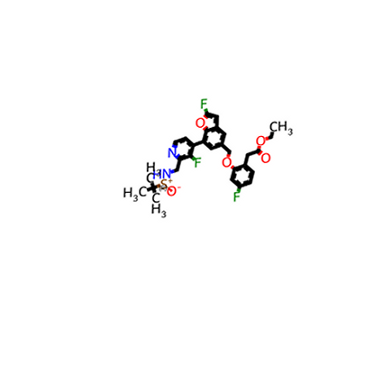 CCOC(=O)Cc1ccc(F)cc1OCc1cc(-c2ccnc(CN[S@@+]([O-])C(C)(C)C)c2F)c2oc(F)cc2c1